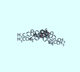 CC(C)(C)c1ccc2c(c1)C1(c3cc(C(C)(C)C)ccc3O2)c2ccccc2-c2ccc(N(c3ccc4c(c3)C3(c5cc(C(C)(C)C)ccc5Oc5ccc(C(C)(C)C)cc53)c3ccccc3-4)c3cccc4sc5ccccc5c34)cc21